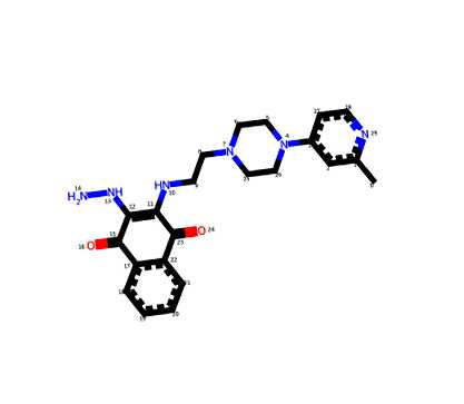 Cc1cc(N2CCN(CCNC3=C(NN)C(=O)c4ccccc4C3=O)CC2)ccn1